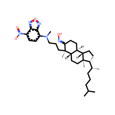 CC(C)CCC[C@@H](C)[C@H]1CC[C@H]2[C@@H]3CCC(=NO)[C@](C)(CCCN(C)c4ccc([N+](=O)[O-])c5nonc45)[C@H]3CC[C@]12C